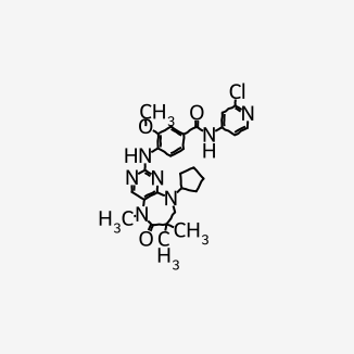 COc1cc(C(=O)Nc2ccnc(Cl)c2)ccc1Nc1ncc2c(n1)N(C1CCCC1)CC(C)(C)C(=O)N2C